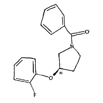 O=C(c1ccccc1)N1CC[C@@H](Oc2ccccc2F)C1